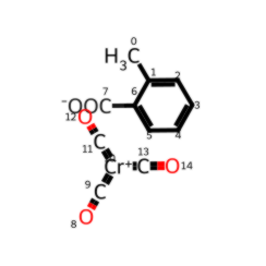 Cc1ccccc1C(=O)[O-].O=[C]=[Cr+](=[C]=O)=[C]=O